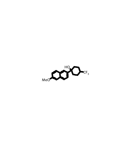 COc1ccc2cc(C3(O)CCC(C(F)(F)F)CC3)ccc2c1